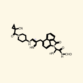 CCCC(C(=O)NC=O)N1C(=O)c2cccc3c(C/C(C=N)=C/NC4CCN(C(=O)C5(C#N)CC5)CC4)ccc1c23